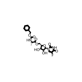 C[C@H](NC(=O)OCc1ccccc1)C(=O)OC[C@H]1O[C@@H](n2cc(F)c(=O)[nH]c2=O)[C@@H](O)[C@@H]1O